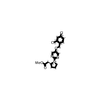 COC(=O)C[C@@H]1CCCN1c1ncc(OCc2ccc(Cl)cc2Cl)cn1